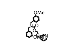 COc1cccc(CN(Cc2cccc(OC)c2)C(=O)OCOc2cccnc2)c1